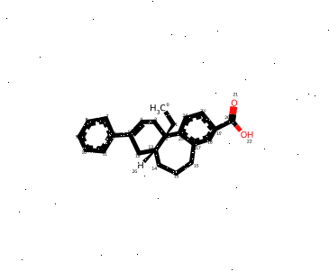 CC[C@]12CC=C(c3ccccc3)C[C@H]1CCCc1cc(C(=O)O)ccc12